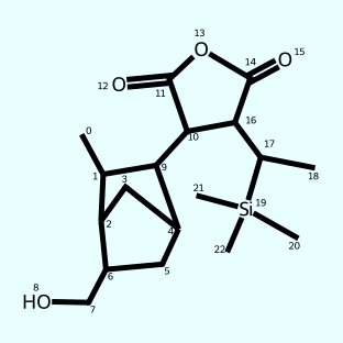 CC1C2CC(CC2CO)C1C1C(=O)OC(=O)C1C(C)[Si](C)(C)C